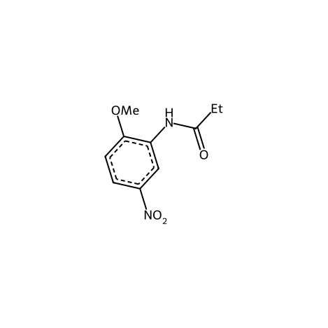 CCC(=O)Nc1cc([N+](=O)[O-])ccc1OC